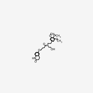 COc1cc(CCN(CCO)C(=O)CCCOc2ccc3c(c2)CCC(=O)N3)cc(OC)c1OC